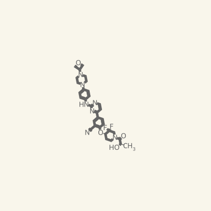 C[C@H](O)C(=O)N1CC[C@H](Oc2ccc(-c3ccnc(Nc4ccc(N5CCN(C6COC6)CC5)cc4)n3)cc2C#N)C(F)(F)C1